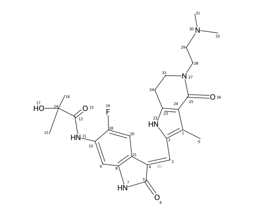 Cc1c(/C=C2/C(=O)Nc3cc(NC(=O)C(C)(C)O)c(F)cc32)[nH]c2c1C(=O)N(CCN(C)C)CC2